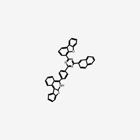 c1ccc2c(c1)SC1NC(c3ccc(-c4nc(-c5ccc6ccccc6c5)nc(-c5cccc6c5oc5ccccc56)n4)cc3)=c3ccccc3=C21